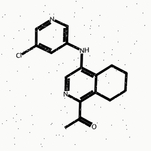 CC(=O)c1ncc(Nc2cncc(Cl)c2)c2c1CCCC2